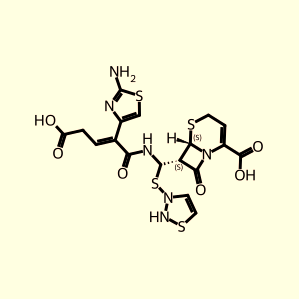 Nc1nc(C(=CCC(=O)O)C(=O)NC(SN2C=CSN2)[C@H]2C(=O)N3C(C(=O)O)=CCS[C@@H]23)cs1